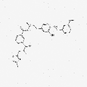 COc1cccc(CNc2ccc(CC[C@H](C)NC(=O)c3c[c]cc(C(=O)N(C)Cc4nc(C)cs4)c3)cc2O)c1